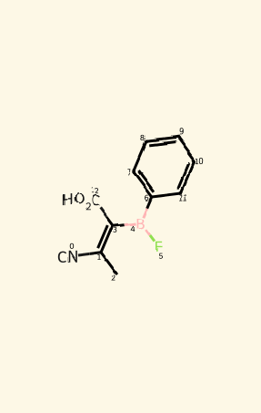 [C-]#[N+]/C(C)=C(/B(F)c1ccccc1)C(=O)O